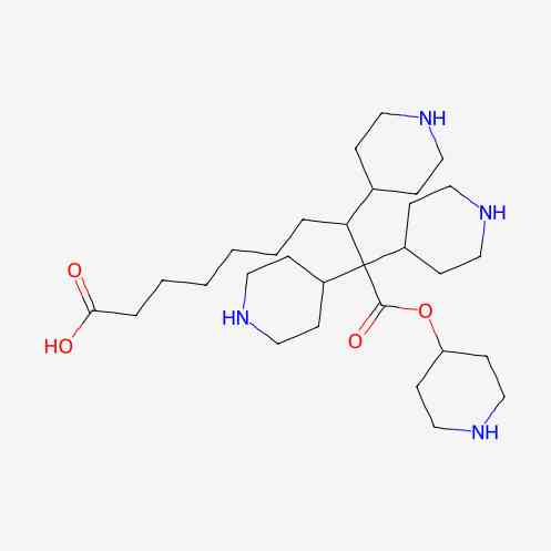 O=C(O)CCCCCCC(C1CCNCC1)C(C(=O)OC1CCNCC1)(C1CCNCC1)C1CCNCC1